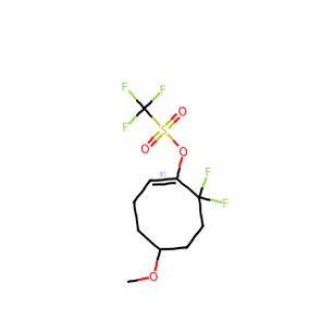 COC1CC/C=C(/OS(=O)(=O)C(F)(F)F)C(F)(F)CC1